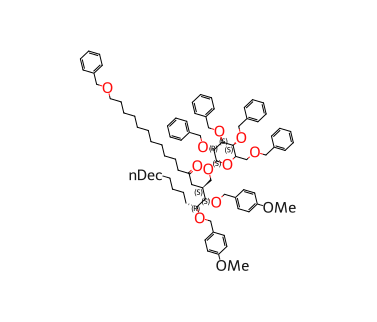 CCCCCCCCCCCCCC[C@@H](OCc1ccc(OC)cc1)[C@@H](OCc1ccc(OC)cc1)[C@H](CO[C@H]1OC(COCc2ccccc2)[C@H](OCc2ccccc2)[C@H](OCc2ccccc2)[C@H]1OCc1ccccc1)CC(=O)CCCCCCCCCCCOCc1ccccc1